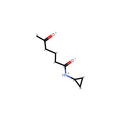 CC(=O)CCCC(=O)NC1CC1